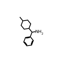 CC1CCC(C(N)c2ccccc2)CC1